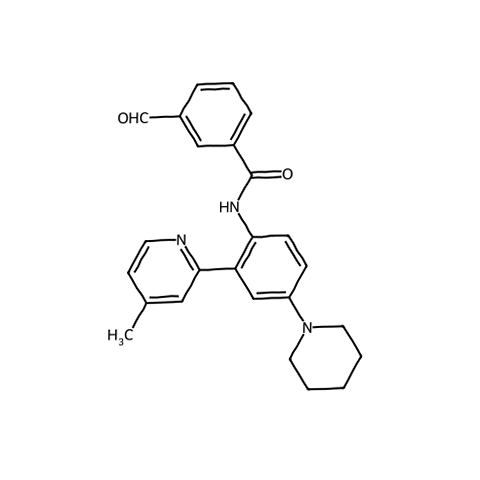 Cc1ccnc(-c2cc(N3CCCCC3)ccc2NC(=O)c2cccc(C=O)c2)c1